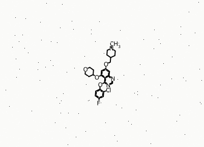 CN1CCC(COc2cc(OC3CCOCC3)c3c(Oc4ccc(F)cc4Cl)ncnc3c2)CC1